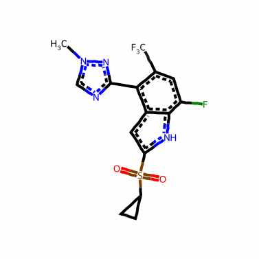 Cn1cnc(-c2c(C(F)(F)F)cc(F)c3[nH]c(S(=O)(=O)C4CC4)cc23)n1